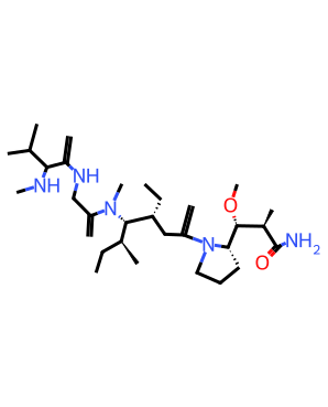 C=C(NCC(=C)N(C)[C@H]([C@H](CC)CC(=C)N1CCC[C@H]1[C@H](OC)[C@@H](C)C(N)=O)[C@@H](C)CC)C(NC)C(C)C